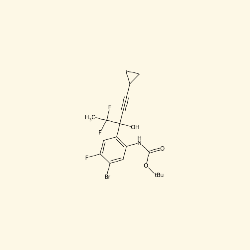 CC(C)(C)OC(=O)Nc1cc(Br)c(F)cc1C(O)(C#CC1CC1)C(C)(F)F